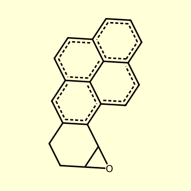 c1cc2ccc3cc4c(c5ccc(c1)c2c35)C1OC1CC4